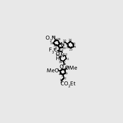 CCOC(=O)/C=C/c1cc(OC)c(OCC2CCN(CC(O)(c3cn(Cc4ccccc4)c4cc([N+](=O)[O-])ccc34)C(F)(F)F)CC2)c(OC)c1